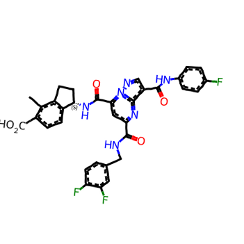 Cc1c(C(=O)O)ccc2c1CC[C@@H]2NC(=O)c1cc(C(=O)NCc2ccc(F)c(F)c2)nc2c(C(=O)Nc3ccc(F)cc3)cnn12